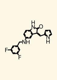 O=C1Nc2ccc(NCc3cc(F)cc(F)c3)cc2/C1=C/c1ccc[nH]1